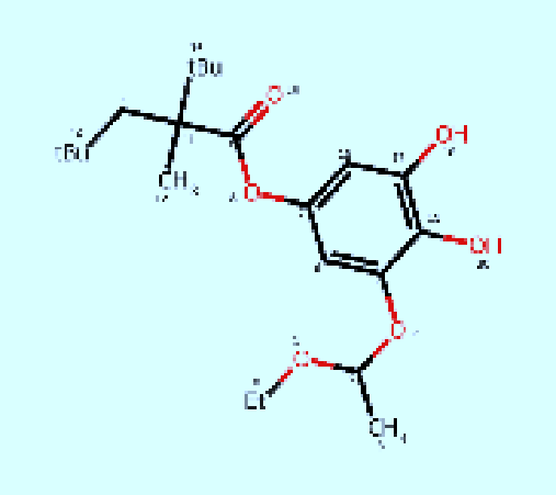 CCOC(C)Oc1cc(OC(=O)C(C)(CC(C)(C)C)C(C)(C)C)cc(O)c1O